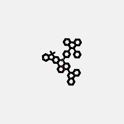 CC1(C)c2ccccc2-c2cc(-c3ccccc3)c(N(c3ccc(-c4cc5ccccc5c5ccccc45)cc3)c3ccc(-c4c(-c5ccccc5)c5ccccc5c5ccccc45)cc3)cc21